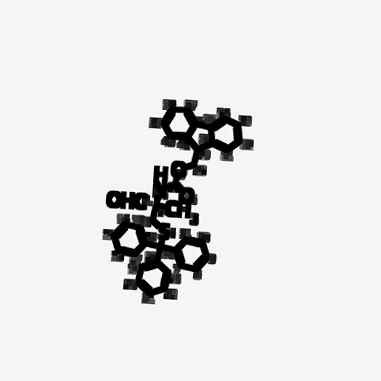 C[C@@](C=O)(CSC(c1ccccc1)(c1ccccc1)c1ccccc1)NC(=O)OCC1c2ccccc2-c2ccccc21